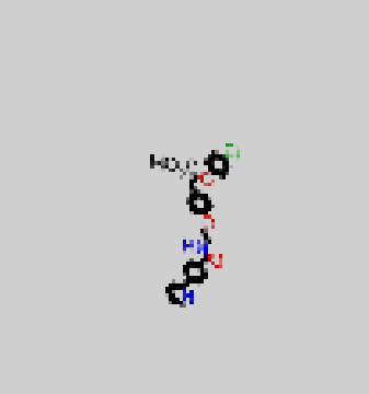 O=C(NCCOc1ccc(CC(Oc2ccc(Cl)cc2)C(=O)O)cc1)c1ccc(-c2ccccn2)cc1